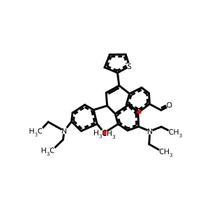 CCN(CC)c1ccc(C(/C=C(\c2ccc(C=O)cc2)c2cccs2)c2ccc(N(CC)CC)cc2C)c(C)c1